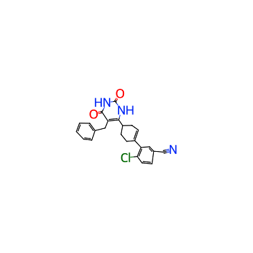 N#Cc1ccc(Cl)c(C2=CCC(c3[nH]c(=O)[nH]c(=O)c3Cc3ccccc3)CC2)c1